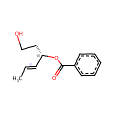 C/C=C/[C@H](CCO)OC(=O)c1ccccc1